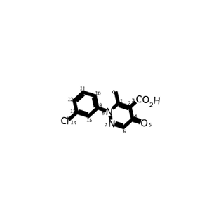 Cc1c(C(=O)O)c(=O)cnn1-c1cccc(Cl)c1